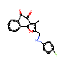 Cc1c(CNc2ccc(F)cc2)oc2c1C(=O)C(=O)c1ccccc1-2